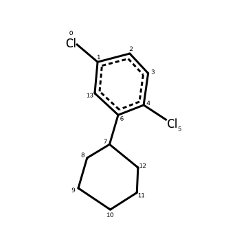 Clc1ccc(Cl)c(C2CCCCC2)c1